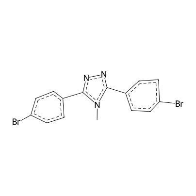 Cn1c(-c2ccc(Br)cc2)nnc1-c1ccc(Br)cc1